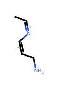 C/C=N\C=C/CN